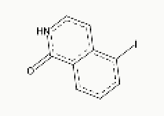 O=c1[nH]ccc2c(I)cccc12